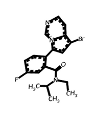 CCN(C(=O)c1cc(F)ccc1-c1cc(Br)c2ccncn12)C(C)C